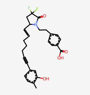 Cc1ccc(C#CCCC/C=C/C2CC(F)(F)C(=O)N2CCc2ccc(C(=O)O)cc2)cc1O